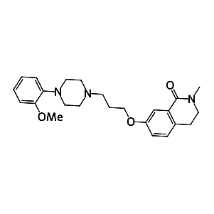 COc1ccccc1N1CCN(CCCOc2ccc3c(c2)C(=O)N(C)CC3)CC1